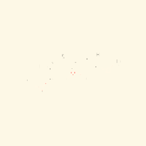 CCOCCOCCOCC.O=C(O)CCC(=O)O